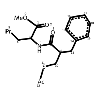 COC(=O)C(CC(C)C)NC(=O)C(CSC(C)=O)Cc1ccccc1